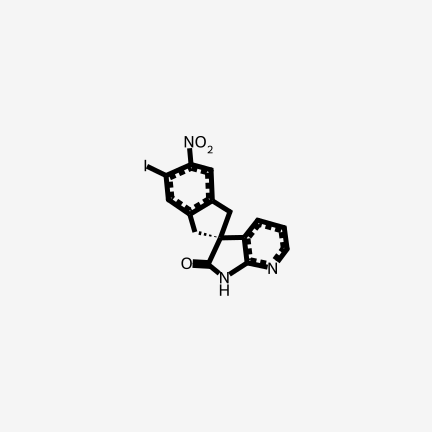 O=C1Nc2ncccc2[C@@]12Cc1cc(I)c([N+](=O)[O-])cc1C2